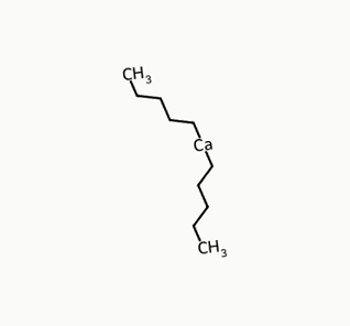 CCCC[CH2][Ca][CH2]CCCC